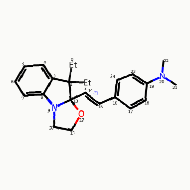 CCC1(CC)c2ccccc2N2CCOC21/C=C/c1ccc(N(C)C)cc1